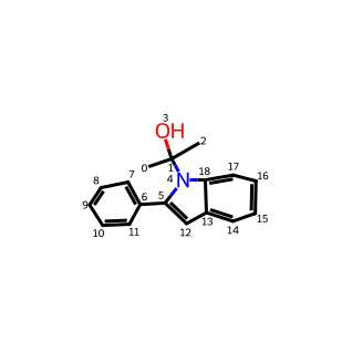 CC(C)(O)n1c(-c2ccccc2)cc2ccccc21